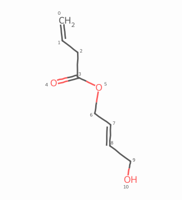 C=CCC(=O)OC/C=C/CO